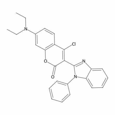 CCN(CC)c1ccc2c(Cl)c(-c3nc4ccccc4n3-c3ccccc3)c(=O)oc2c1